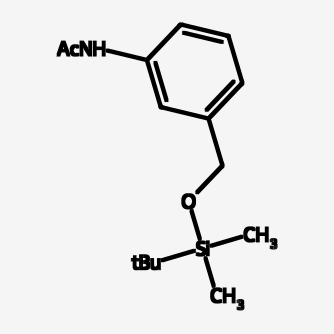 CC(=O)Nc1cccc(CO[Si](C)(C)C(C)(C)C)c1